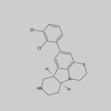 Clc1cccc(-c2cc3c4c(c2)[C@@H]2CNCC[C@@H]2N4CCS3)c1Cl